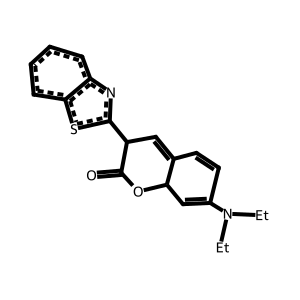 CCN(CC)C1=CC2OC(=O)C(c3nc4ccccc4s3)C=C2C=C1